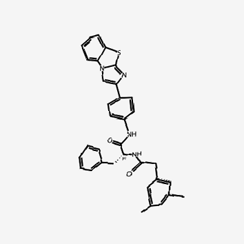 Cc1cc(C)cc(CC(=O)N[C@H](Cc2ccccc2)C(=O)Nc2ccc(-c3cn4c(n3)sc3ccccc34)cc2)c1